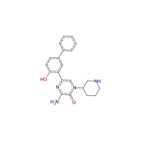 Nc1nc(-c2cc(-c3ccccc3)ccc2O)cn(C2CCCNC2)c1=O